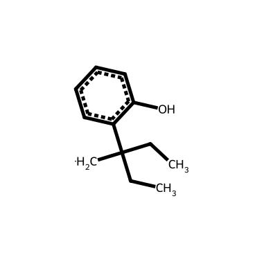 [CH2]C(CC)(CC)c1ccccc1O